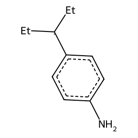 CC[C](CC)c1ccc(N)cc1